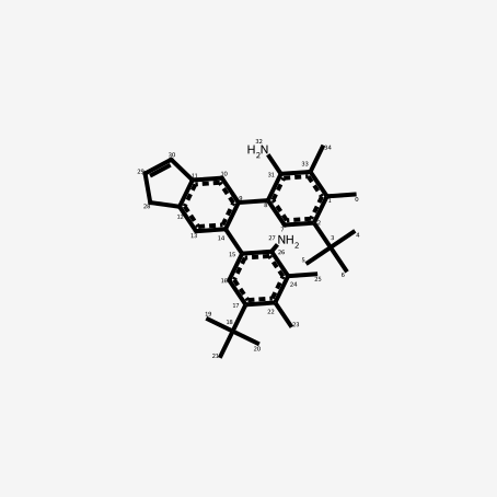 Cc1c(C(C)(C)C)cc(-c2cc3c(cc2-c2cc(C(C)(C)C)c(C)c(C)c2N)CC=C3)c(N)c1C